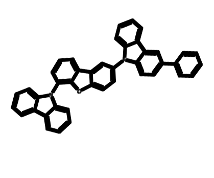 c1ccc(-c2ccc3c(c2)c2ccccc2n3-c2ccc3oc4c(-n5c6ccccc6c6ccccc65)cccc4c3c2)cc1